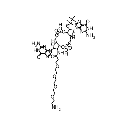 CC(C)(C)[Si](C)(C)OC1C2OP(=O)(O)OC[C@H]3O[C@@H](n4cnc5c(=O)[nH]c(N)nc54)C(NC(=O)CCOCCOCCOCCOCCN)C3OP(=O)(O)OC[C@H]2O[C@H]1n1cnc2c(=O)[nH]c(N)nc21